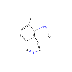 CC(C)=O.Cc1ccc2cnccc2c1N